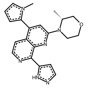 C[C@@H]1COCCN1c1cc(-c2cccn2C)c2ccnc(-c3ccn[nH]3)c2n1